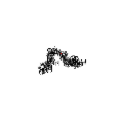 CC1(C)CN(CC2CCN(c3ccc4c(c3)C(=O)N(C3CCC(=O)NC3=O)C4)CC2)CCN1C(=O)N1CCN2c3cc(-c4cccc(Cl)c4O)nnc3NCC2(C)C1